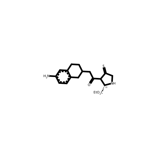 CCOC(=O)[C@H]1NCC(=S)C1C(=O)CC1CCc2cc(N)ccc2C1